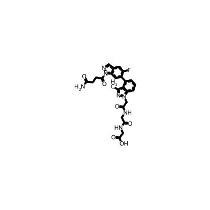 Cc1nn(CC(=O)NCC(=O)NCC(=O)O)c2cccc(-c3cc4c(cnn4C(=O)CCC(N)=O)cc3F)c12